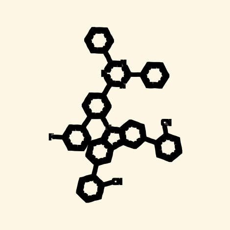 N#Cc1ccccc1-c1ccc2c(c1)c1cc(-c3ccccc3C#N)ccc1n2-c1cc(-c2nc(-c3ccccc3)nc(-c3ccccc3)n2)ccc1-c1cccc(F)c1